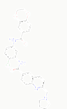 O=C(Nc1ccc(Cl)c(NC(=O)c2ccc3nc(CN4CCCC4)ccc3c2)c1)c1ccc2c(c1)OCCO2